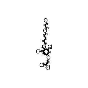 O=CCCOCCCCCOc1c(Cl)cc(OCC=C(Cl)Cl)cc1Cl